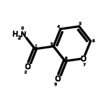 NC(=O)c1cccoc1=O